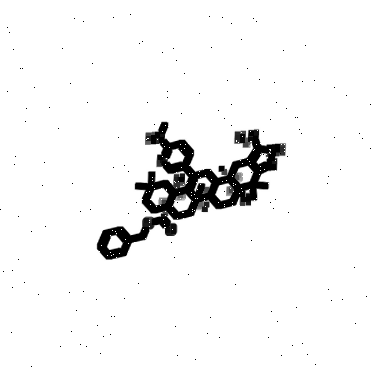 CNc1ccc(C2=C3[C@@H]4CC(C)(C)CC[C@]4(C(=O)OCc4ccccc4)CC[C@@]3(C)[C@]3(C)CC[C@H]4C(C)(C)c5n[nH]c(N)c5C[C@]4(C)C3C2)cn1